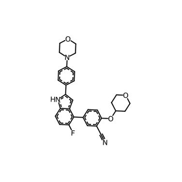 N#Cc1cc(-c2c(F)ccc3[nH]c(-c4ccc(N5CCOCC5)cc4)cc23)ccc1OC1CCOCC1